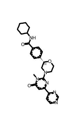 Cn1c(N2CCO[C@@H](c3ccc(C(=O)NC4CCCCC4)cc3)C2)nc(-c2ccncn2)cc1=O